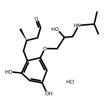 CC(C)NCC(O)COc1cc(O)cc(O)c1C[C@@H](C)CC=O.Cl